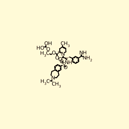 CCOC(=O)[C@H]1CC(C)=CCN1C(=O)[C@H](Cc1cccc(C(=N)N)c1)NS(=O)(=O)c1ccc2c(c1)CCN(C(C)C)CC2.O=C(O)O